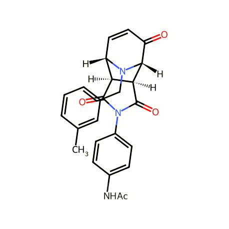 CC(=O)Nc1ccc(N2C(=O)[C@@H]3[C@H](C2=O)[C@H]2C(=O)C=C[C@@H]3N2Cc2cccc(C)c2)cc1